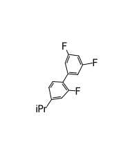 CC(C)c1ccc(-c2cc(F)cc(F)c2)c(F)c1